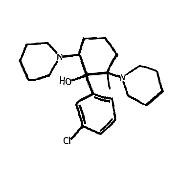 CC1(N2CCCCC2)CCCC(N2CCCCC2)C1(O)c1cccc(Cl)c1